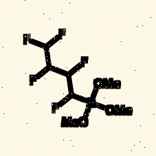 CO[Si](OC)(OC)C(F)C(F)C(F)C(F)F